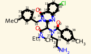 CCN(C)C(=O)C(c1nc2cc(Cl)ccc2c(=O)n1Cc1cccc(OC)c1)N(CCCN)C(=O)c1ccc(C)cc1